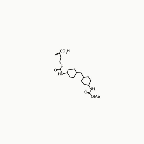 C=C(CCOC(=O)NC1CCC(CC2CCC(NC(=O)OC)CC2)CC1)C(=O)O